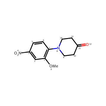 COc1cc([N+](=O)[O-])ccc1N1CCC(=O)CC1